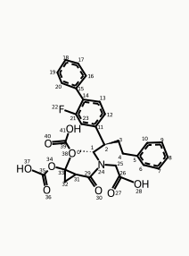 C[C@H]([C@H](CCc1ccccc1)c1ccc(-c2ccccc2)c(F)c1)N(CC(=O)O)C(=O)C1CC1(OC(=O)O)OC(=O)O